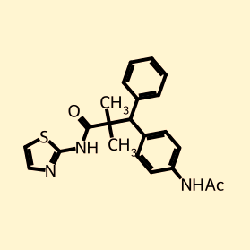 CC(=O)Nc1ccc(C(c2ccccc2)C(C)(C)C(=O)Nc2nccs2)cc1